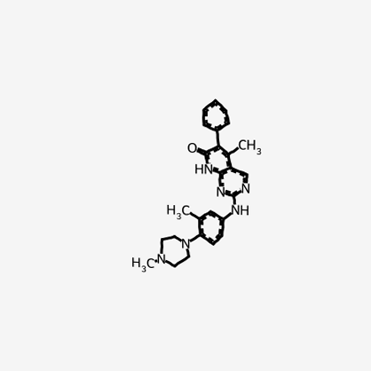 Cc1cc(Nc2ncc3c(C)c(-c4ccccc4)c(=O)[nH]c3n2)ccc1N1CCN(C)CC1